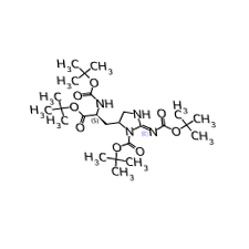 CC(C)(C)OC(=O)/N=C1\NCC(C[C@H](NC(=O)OC(C)(C)C)C(=O)OC(C)(C)C)N1C(=O)OC(C)(C)C